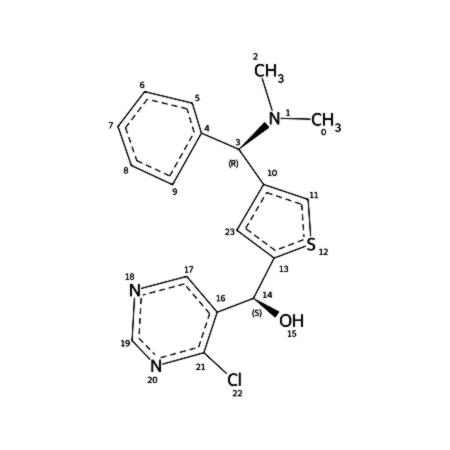 CN(C)[C@H](c1ccccc1)c1csc([C@@H](O)c2cncnc2Cl)c1